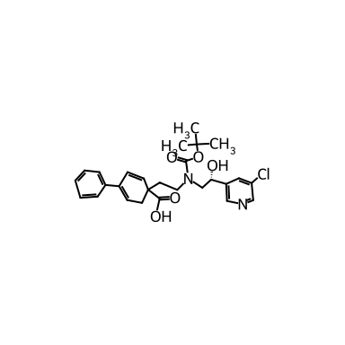 CC(C)(C)OC(=O)N(CCC1(C(=O)O)C=CC(c2ccccc2)=CC1)C[C@H](O)c1cncc(Cl)c1